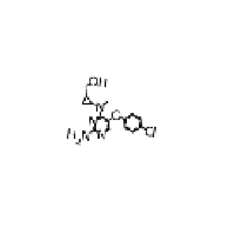 CN(c1nc(N)ncc1Oc1ccc(Cl)cc1)C1CC1CO